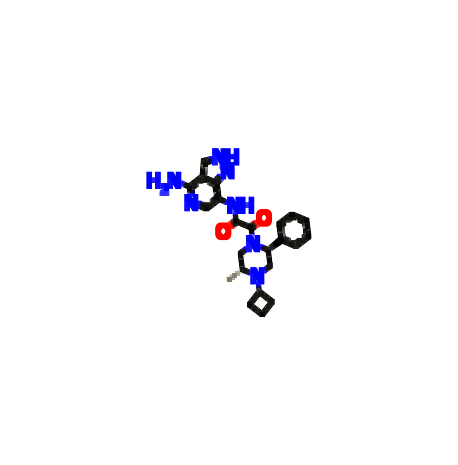 C[C@@H]1CN(C(=O)C(=O)Nc2cnc(N)c3c[nH]nc23)[C@@H](c2ccccc2)CN1C1CCC1